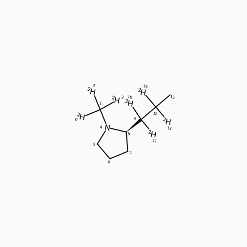 [2H]C([2H])([2H])N1CCC[C@@H]1C([2H])([2H])C([2H])([2H])C